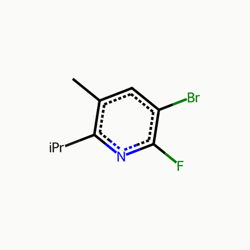 Cc1cc(Br)c(F)nc1C(C)C